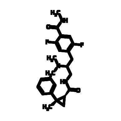 CNC(=O)c1cc(F)c(CC(CNC(=O)[C@@H]2C[C@]2(C)c2ccccc2)N(C)C)cc1F